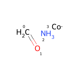 C=O.N.[Co]